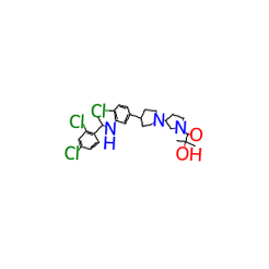 CC(Nc1cc(C2CCN(C3CCN(C(=O)C(C)(C)O)C3)CC2)ccc1Cl)c1ccc(Cl)cc1Cl